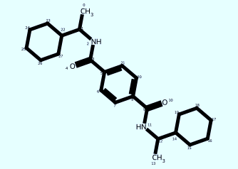 CC(NC(=O)c1ccc(C(=O)NC(C)C2CCCCC2)cc1)C1CCCCC1